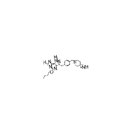 CCCCOc1nc(N)c2[nH]nc(Cc3ccc(CN4CCC5(CC4)CNC5)cc3)c2n1